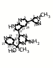 Cn1cc(-c2cnc3[nH]cc(-c4cc([C@](C)(O)c5ccncc5)nc(N)n4)c3c2)cn1